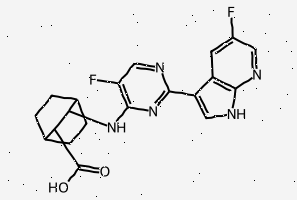 O=C(O)C1C2CCC(CC2)C1Nc1nc(-c2c[nH]c3ncc(F)cc23)ncc1F